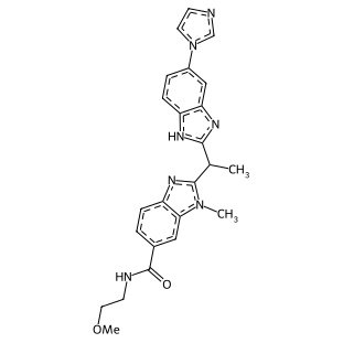 COCCNC(=O)c1ccc2nc(C(C)c3nc4cc(-n5ccnc5)ccc4[nH]3)n(C)c2c1